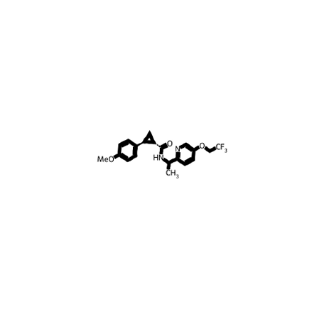 COc1ccc([C@H]2C[C@@H]2C(=O)NC(C)c2ccc(OCC(F)(F)F)cn2)cc1